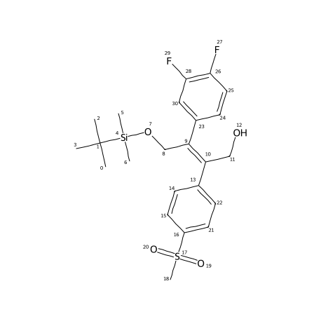 CC(C)(C)[Si](C)(C)OC/C(=C(/CO)c1ccc(S(C)(=O)=O)cc1)c1ccc(F)c(F)c1